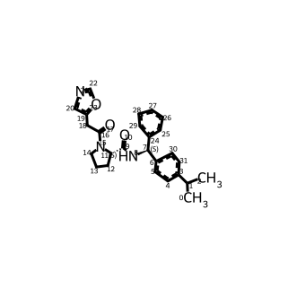 CC(C)c1ccc([C@@H](NC(=O)[C@@H]2CCCN2C(=O)Cc2cnco2)c2ccccc2)cc1